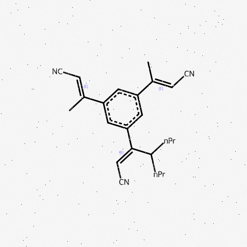 CCCC(CCC)/C(=C\C#N)c1cc(/C(C)=C/C#N)cc(/C(C)=C/C#N)c1